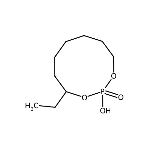 CCC1CCCCCCOP(=O)(O)O1